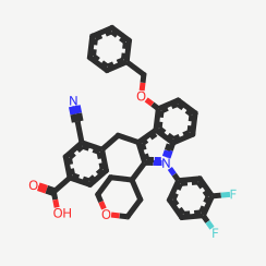 N#Cc1cc(C(=O)O)ccc1Cc1c(C2CCOCC2)n(-c2ccc(F)c(F)c2)c2cccc(OCc3ccccc3)c12